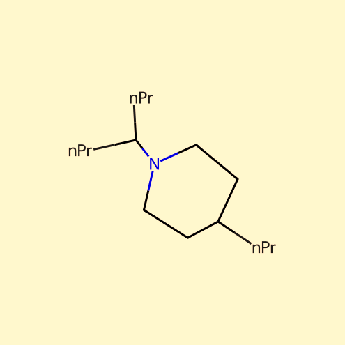 CCCC1CCN(C(CCC)CCC)CC1